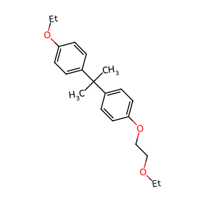 CCOCCOc1ccc(C(C)(C)c2ccc(OCC)cc2)cc1